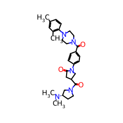 Cc1ccc(N2CCN(C(=O)c3ccc(N4CC(C(=O)N5CC[C@H](N(C)C)C5)CC4=O)cc3)CC2)c(C)c1